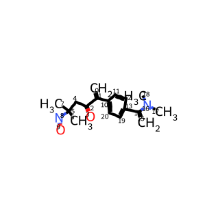 C=C(C(=O)CC(C)(C)N=O)c1ccc(C(=C)N(C)C)cc1